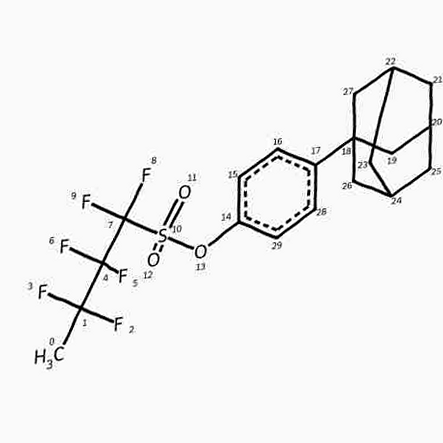 CC(F)(F)C(F)(F)C(F)(F)S(=O)(=O)Oc1ccc(C23CC4CC(CC(C4)C2)C3)cc1